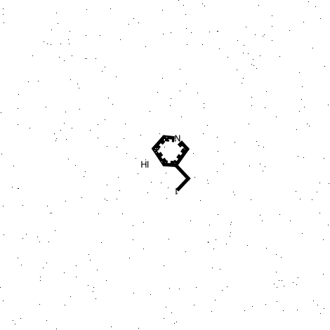 I.ICc1cccnc1